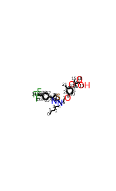 CCCCCN(CCOc1ccc(OC(C)(C)C(=O)O)c(C)c1)c1nc(-c2ccc(C(F)(F)F)cc2)cs1